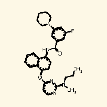 CCCN(C)c1nccc(Oc2ccc(NC(=O)c3cc(F)cc(N4CCCCC4)c3)c3ccccc23)n1